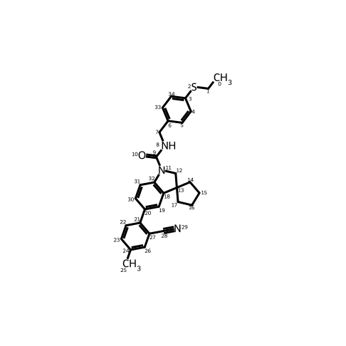 CCSc1ccc(CNC(=O)N2CC3(CCCC3)c3cc(-c4ccc(C)cc4C#N)ccc32)cc1